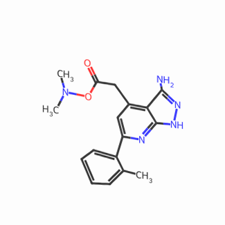 Cc1ccccc1-c1cc(CC(=O)ON(C)C)c2c(N)n[nH]c2n1